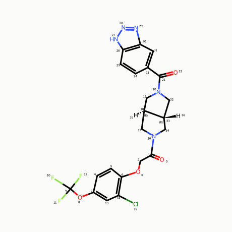 O=C(COc1ccc(OC(F)(F)F)cc1Cl)N1C[C@H]2CN(C(=O)c3ccc4[nH]nnc4c3)C[C@@H]2C1